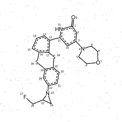 O=c1cc(N2CCOCC2)cc(-c2cccc3c2Sc2ccc(N4CC4CF)cc2S3)[nH]1